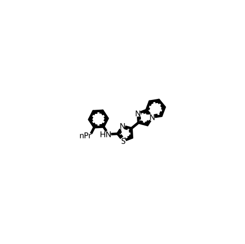 CCCc1ccccc1Nc1nc(-c2cn3ccccc3n2)cs1